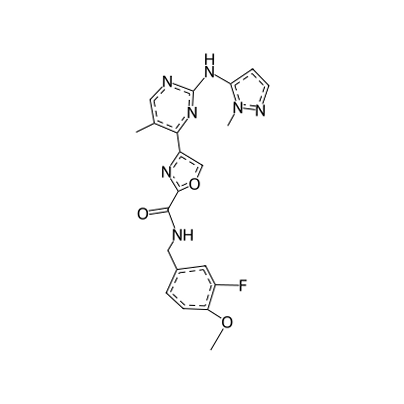 COc1ccc(CNC(=O)c2nc(-c3nc(Nc4ccnn4C)ncc3C)co2)cc1F